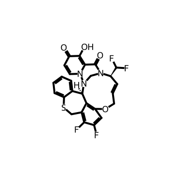 O=C1c2c(O)c(=O)ccn2N2CN1[C@@H](C(F)F)/C=C/COc1cc(F)c(F)c3c1[C@H]2c1ccccc1SC3